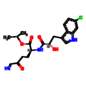 CC(C)OC(=O)[C@H](CCC(=O)C=N)NC(=O)[C@@H](O)Cc1c[nH]c2cc(Cl)ccc12